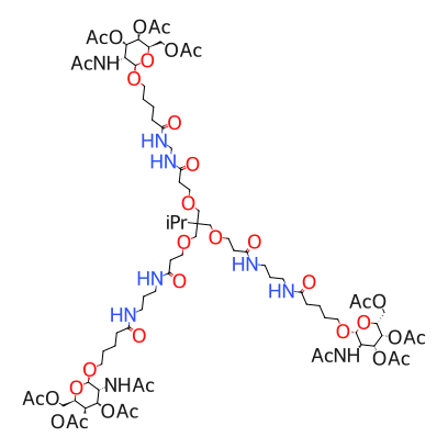 CC(=O)N[C@H]1[C@H](OCCCCC(=O)NCCCNC(=O)CCOCC(COCCC(=O)NCCCNC(=O)CCCCO[C@@H]2O[C@H](COC(C)=O)[C@H](OC(C)=O)[C@H](OC(C)=O)[C@H]2NC(C)=O)(COCCC(=O)NCNC(=O)CCCCO[C@@H]2O[C@H](COC(C)=O)[C@H](OC(C)=O)[C@H](OC(C)=O)[C@H]2NC(C)=O)C(C)C)O[C@H](COC(C)=O)[C@H](OC(C)=O)[C@@H]1OC(C)=O